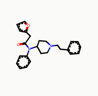 O=C(Cc1ccco1)N(c1ccccc1)C1CCN(CCc2ccccc2)CC1